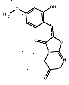 COc1ccc(/C=c2/oc3n(c2=O)CC(=O)ON=3)c(O)c1